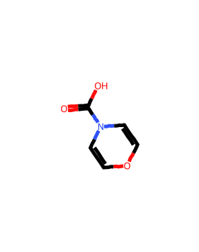 O=C(O)N1C=COC=C1